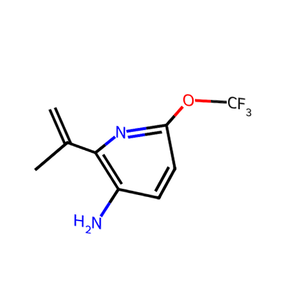 C=C(C)c1nc(OC(F)(F)F)ccc1N